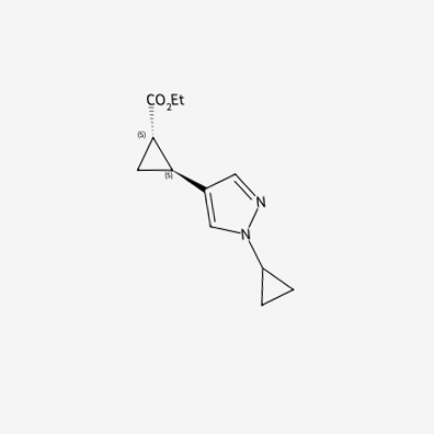 CCOC(=O)[C@H]1C[C@@H]1c1cnn(C2CC2)c1